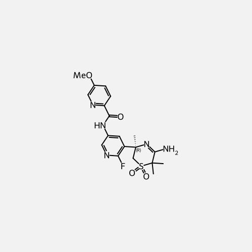 COc1ccc(C(=O)Nc2cnc(F)c([C@]3(C)CS(=O)(=O)C(C)(C)C(N)=N3)c2)nc1